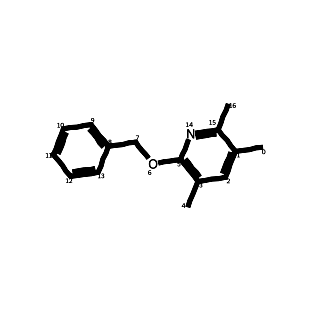 Cc1cc(C)c(OCc2ccccc2)nc1C